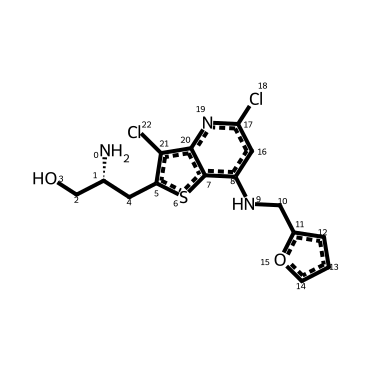 N[C@@H](CO)Cc1sc2c(NCc3ccco3)cc(Cl)nc2c1Cl